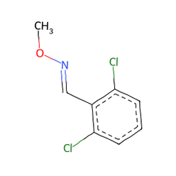 CON=Cc1c(Cl)cccc1Cl